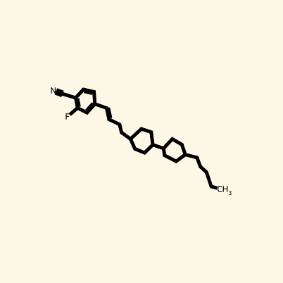 CCCCCC1CCC(C2CCC(CCC=Cc3ccc(C#N)c(F)c3)CC2)CC1